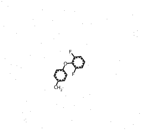 [CH2]c1ccc(Oc2c(F)cccc2F)cc1